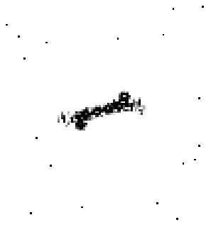 CC1(C)c2ccccc2-c2nc(-c3ccc(-c4ccc(-c5ccc6c(n5)-c5ccccc5C6(C)C)cc4)cc3)ccc21